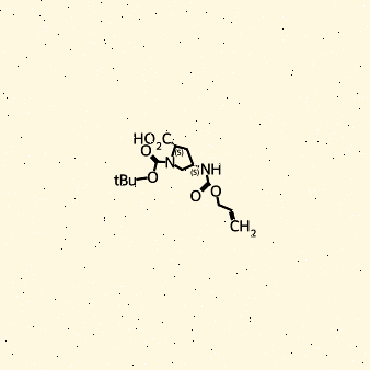 C=CCOC(=O)N[C@H]1C[C@@H](C(=O)O)N(C(=O)OC(C)(C)C)C1